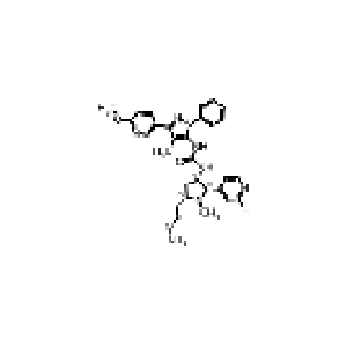 COCC[C@@H]1C[C@@H](NC(=O)Nc2c(C)c(-c3ccc(OC)nc3)nn2-c2ccccc2)[C@H](c2ccnc(F)c2)N1C